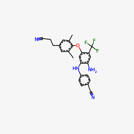 Cc1cc(CCC#N)cc(C)c1Oc1cc(Nc2ccc(C#N)cc2)c(N)cc1C(F)(F)F